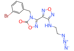 [N-]=[N+]=NCCNc1nonc1-c1noc(=O)n1Cc1cccc(Br)c1